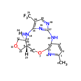 Cc1ccc2c(n1)OC[C@@H]1COC[C@H]1Nc1nc(ncc1C(F)(F)F)N2